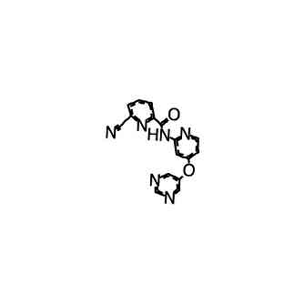 N#Cc1cccc(C(=O)Nc2cc(Oc3cncnc3)ccn2)n1